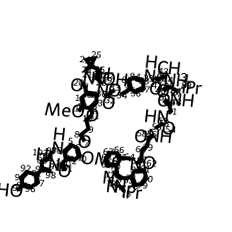 COc1cc2c(cc1OCCCOc1cc3c(cc1OC)C(=O)N1CC4(CC4)C[C@H]1C(O)N3C(=O)OCc1ccc(NC(=O)[C@H](C)NC(=O)[C@@H](NC(=O)CNC(=O)CNC(=O)CCC(=O)N3Cc4ccccc4-c4nnn(C(C)C)c4-c4ccccc43)C(C)C)cc1)NC[C@@H]1CC(c3ccc(O)cc3)=CN1C2=O